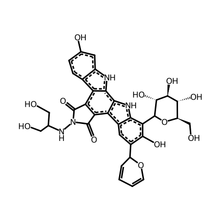 O=C1c2c(c3c4cc(C5C=CC=CO5)c(O)c(C5O[C@H](CO)[C@@H](O)[C@H](O)[C@H]5O)c4[nH]c3c3[nH]c4cc(O)ccc4c23)C(=O)N1NC(CO)CO